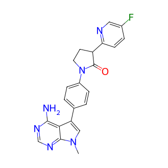 Cn1cc(-c2ccc(N3CCC(c4ccc(F)cn4)C3=O)cc2)c2c(N)ncnc21